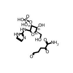 NC(=O)C(=O)CCC=O.O=P(O)(O)O[C@H]1C(Nc2ncc[nH]2)O[C@H](CO)[C@H]1O